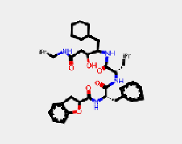 CC(C)CNC(=O)CC(O)C(CC1CCCCC1)NC(=O)[C@H](CC(C)C)NC(=O)[C@H](Cc1ccccc1)NC(=O)C1Cc2ccccc2O1